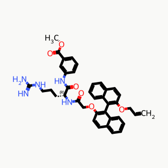 C=CCOc1ccc2ccccc2c1-c1c(OCC(=O)N[C@H](CCCNC(=N)N)C(=O)Nc2cccc(C(=O)OC)c2)ccc2ccccc12